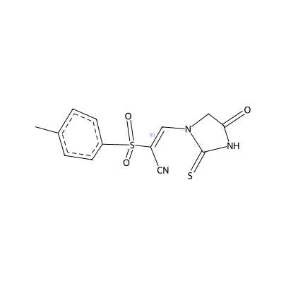 Cc1ccc(S(=O)(=O)/C(C#N)=C/N2CC(=O)NC2=S)cc1